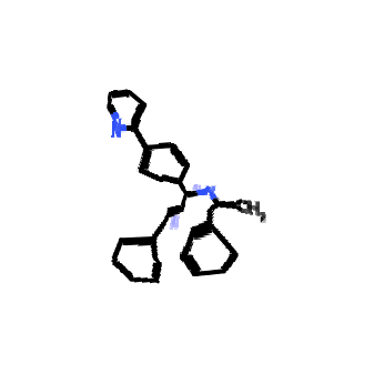 C=C(/N=C(\C=C\c1ccccc1)c1ccc(-c2ccccn2)cc1)c1ccccc1